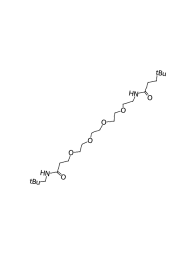 CC(C)(C)CCC(=O)NCCOCCOCCOCCOCCC(=O)NCC(C)(C)C